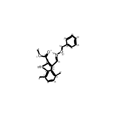 COC(=O)c1[nH]c2c(C)ccc(C)c2c1C=NOCc1ccccc1